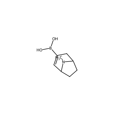 CN1C2C=C(B(O)O)CC1CC2